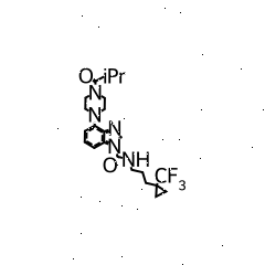 CC(C)C(=O)N1CCN(c2cccc3c2ncn3C(=O)NCCCC2(C(F)(F)F)CC2)CC1